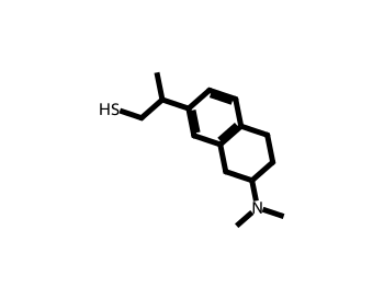 CC(CS)c1ccc2c(c1)CC(N(C)C)CC2